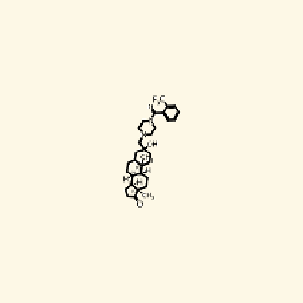 C[C@]12CCC(O)(CN3CCN(C(=O)c4ccccc4C(F)(F)F)CC3)CC1CC[C@@H]1[C@H]2CC[C@]2(C)C(=O)CC[C@@H]12